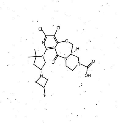 CC1(C)C[C@@H](N2CC(F)C2)CN1c1nc(Cl)c(Cl)c2c1C(=O)N1CCN(C(=O)O)C[C@@H]1CO2